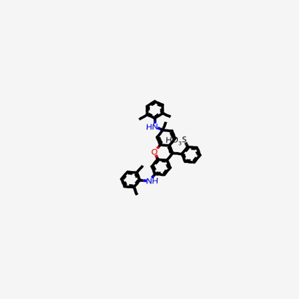 Cc1cccc(C)c1Nc1ccc2c(c1)OC1=CC(C)(Nc3c(C)cccc3C)C=CC1=C2c1ccccc1S(=O)(=O)O